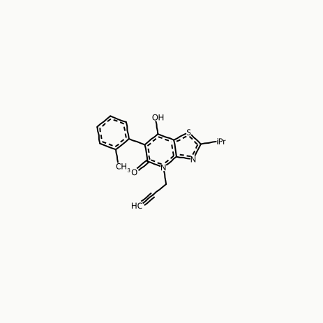 C#CCn1c(=O)c(-c2ccccc2C)c(O)c2sc(C(C)C)nc21